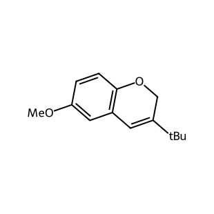 COc1ccc2c(c1)C=C(C(C)(C)C)CO2